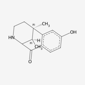 C[C@H]1C2NCC[C@@]1(C)c1cc(O)ccc1C2=O